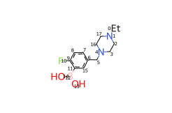 CCN1CCN(Cc2ccc(F)c(B(O)O)c2)CC1